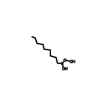 CCCCCCCCCB(O)OO